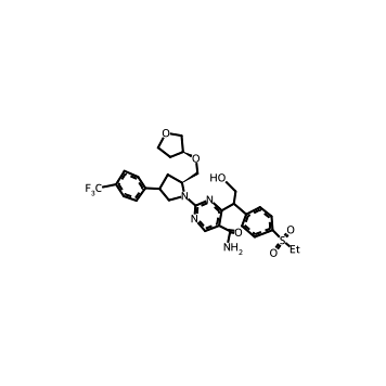 CCS(=O)(=O)c1ccc(C(CO)c2nc(N3CC(c4ccc(C(F)(F)F)cc4)C[C@H]3CO[C@H]3CCOC3)ncc2C(N)=O)cc1